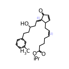 Cc1cccc(CCC(O)C/C=C2/C(=O)C=CC2C/C=C\CCCC(=O)OC(C)C)c1